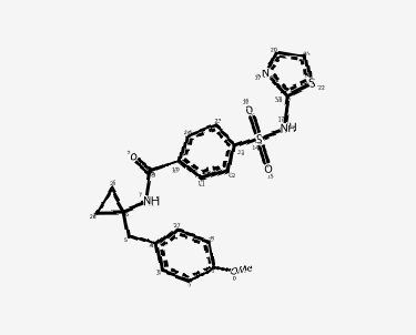 COc1ccc(CC2(NC(=O)c3ccc(S(=O)(=O)Nc4nccs4)cc3)CC2)cc1